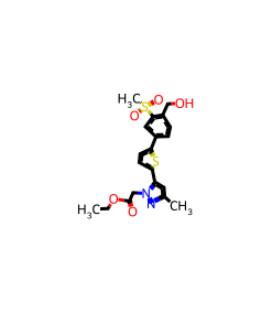 CCOC(=O)Cn1nc(C)cc1-c1ccc(-c2ccc(CO)c(S(C)(=O)=O)c2)s1